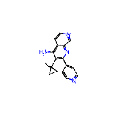 CC1(c2c(-c3ccncc3)nc3cnccc3c2N)CC1